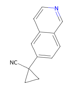 N#CC1(c2ccc3cnccc3c2)CC1